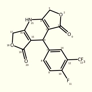 O=C1OCC2=C1C(c1ccc(F)c(C(F)(F)F)c1)C1=C(COC1=O)N2